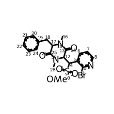 COS(=O)(=O)C(c1cccnc1Br)C1C(=O)N(C)C(Cc2ccccc2)C(=O)N1C